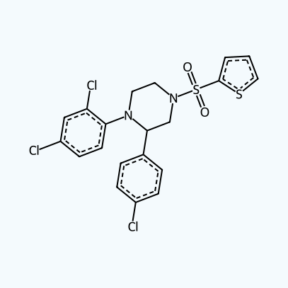 O=S(=O)(c1cccs1)N1CCN(c2ccc(Cl)cc2Cl)C(c2ccc(Cl)cc2)C1